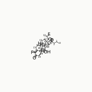 CCCC(=O)O[C@]1(C(=O)CF)[C@@H](C)C[C@H]2[C@@H]3CCC4=C(F)C(=O)C=C[C@]4(C)[C@H]3[C@@H](O)C[C@@]21C